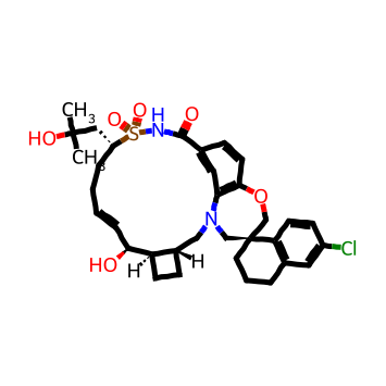 CC(C)(O)C[C@H]1CC/C=C/[C@H](O)[C@@H]2CC[C@H]2CN2C[C@@]3(CCCc4cc(Cl)ccc43)COc3ccc(cc32)C(=O)NS1(=O)=O